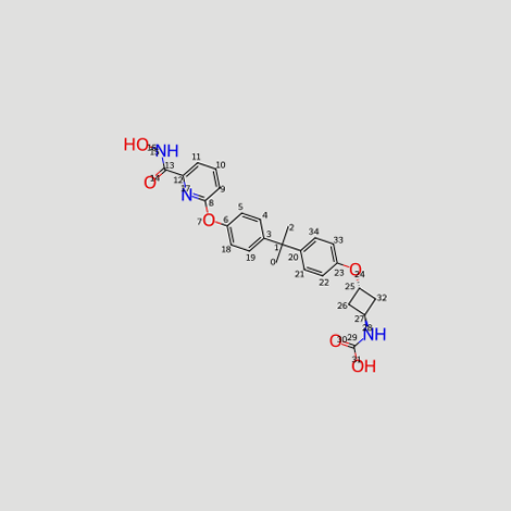 CC(C)(c1ccc(Oc2cccc(C(=O)NO)n2)cc1)c1ccc(O[C@H]2C[C@H](NC(=O)O)C2)cc1